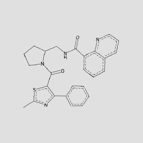 Cc1nc(-c2ccccc2)c(C(=O)N2CCCC2CNC(=O)c2cccc3cccnc23)s1